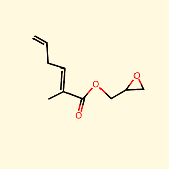 C=CCC=C(C)C(=O)OCC1CO1